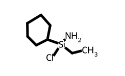 CC[Si](N)(Cl)C1CCCCC1